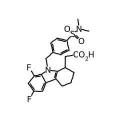 CN(C)S(=O)(=O)c1ccc(Cn2c3c(c4cc(F)cc(F)c42)CCCC3CC(=O)O)cc1